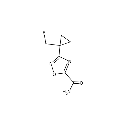 NC(=O)c1nc(C2(CF)CC2)no1